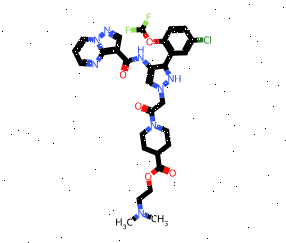 CN(C)CCOC(=O)C1CCN(C(=O)CN2C=C(NC(=O)c3cnn4cccnc34)C(c3cc(Cl)ccc3OC(F)F)N2)CC1